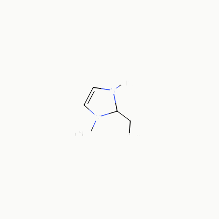 CCCCCCCCCCCC1N(CCCC)C=CN1CCCCCCCCC